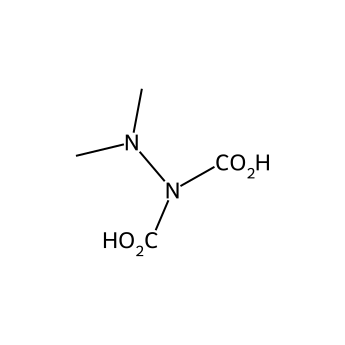 CN(C)N(C(=O)O)C(=O)O